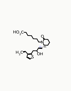 C=Cc1ccsc1CC(O)/C=C/[C@H]1CCCC(=O)N1CCCCCCC(=O)O